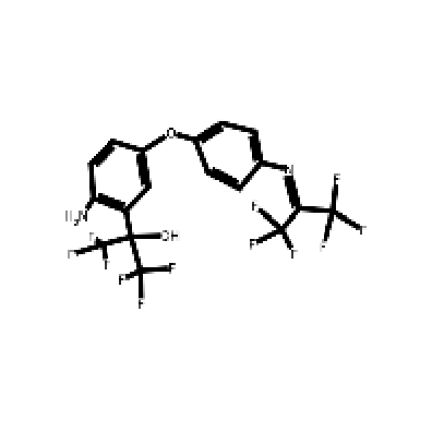 Nc1ccc(Oc2ccc(N=C(C(F)(F)F)C(F)(F)F)cc2)cc1C(O)(C(F)(F)F)C(F)(F)F